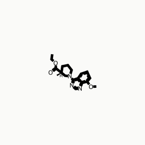 CCOC(=O)[C@]1(C)CCCN(c2ncnc3c(OC)cccc23)C1